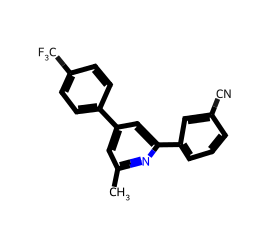 Cc1cc(-c2ccc(C(F)(F)F)cc2)cc(-c2cccc(C#N)c2)n1